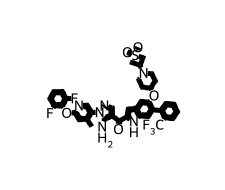 Cc1cc(Oc2c(F)cccc2F)ncc1-n1ncc(C(=O)c2cc3cc(OC4CCN(C5CS(=O)(=O)C5)CC4)c(-c4ccccc4C(F)(F)F)cc3[nH]2)c1N